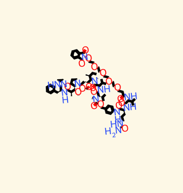 CC[C@H](C)[C@@H]([C@@H](CC(=O)N1CCC[C@H]1C(OC)[C@@H](C)C(=O)N[C@@H](Cc1ccccc1)c1ncc[nH]1)OC)N(C)C(=O)[C@@H](NC(=O)[C@H](C(C)C)N(C)C(=O)OCc1ccc(NC(=O)[C@H](CCCNC(N)=O)NC(=O)[C@@H](NC(=O)CCOCCOCCOCCOCCON2C(=O)c3ccccc3C2=O)C(C)C)cc1)C(C)C